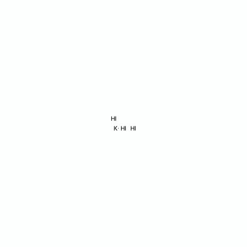 I.I.I.[K]